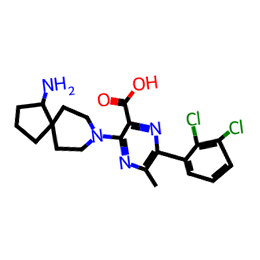 Cc1nc(N2CCC3(CCCC3N)CC2)c(C(=O)O)nc1-c1cccc(Cl)c1Cl